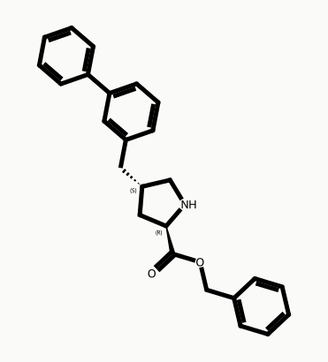 O=C(OCc1ccccc1)[C@H]1C[C@H](Cc2cccc(-c3ccccc3)c2)CN1